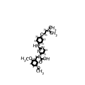 COc1ccc(OC)c(CN(C(=O)O)c2ccnc(Nc3ccc(OCCN(C)C)cc3)n2)c1